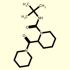 CC(C)(C)NC(=O)N1CCCCC1C(=O)N1CCCCC1